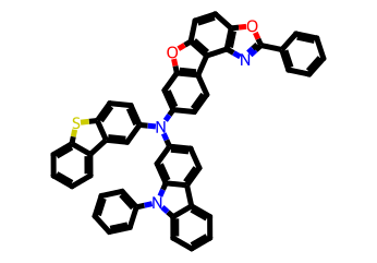 c1ccc(-c2nc3c(ccc4oc5cc(N(c6ccc7sc8ccccc8c7c6)c6ccc7c8ccccc8n(-c8ccccc8)c7c6)ccc5c43)o2)cc1